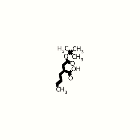 C/C=C/CC(CC(=O)OC(C)(C)C)C(=O)O